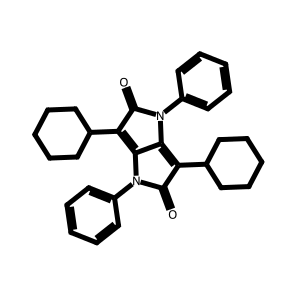 O=C1C(C2CCCCC2)=C2C(=C(C3CCCCC3)C(=O)N2c2ccccc2)N1c1ccccc1